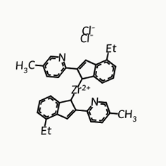 CCc1cccc2c1C=C(c1ccc(C)cn1)[CH]2[Zr+2][CH]1C(c2ccc(C)cn2)=Cc2c(CC)cccc21.[Cl-].[Cl-]